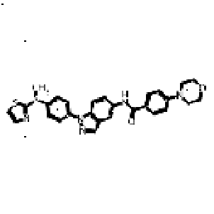 CN(c1ccc(-n2ncc3cc(NC(=O)c4ccc(N5CCOCC5)cc4)ccc32)cc1)c1nccs1